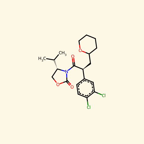 CC(C)[C@H]1COC(=O)N1C(=O)[C@@H](CC1CCCCO1)c1ccc(Cl)c(Cl)c1